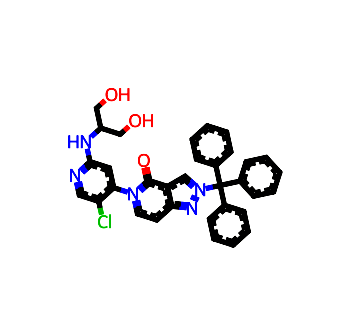 O=c1c2cn(C(c3ccccc3)(c3ccccc3)c3ccccc3)nc2ccn1-c1cc(NC(CO)CO)ncc1Cl